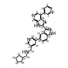 c1cncc(-c2cncc3[nH]c(-c4n[nH]c5ccc(-c6cncc(CNCC7CCCC7)c6)cc45)nc23)c1